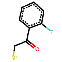 O=C(CS)c1ccccc1F